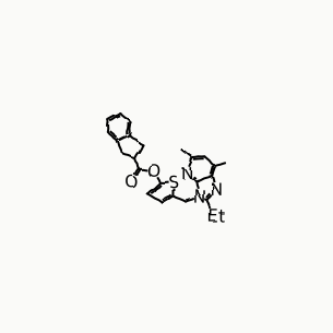 CCc1nc2c(C)cc(C)nc2n1Cc1ccc(OC(=O)C2Cc3ccccc3C2)s1